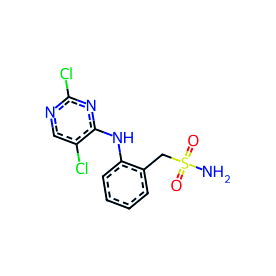 NS(=O)(=O)Cc1ccccc1Nc1nc(Cl)ncc1Cl